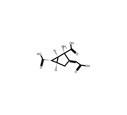 N[C@]1(C(=O)O)C(=CC(=O)O)C[C@H]2[C@H](C(=O)O)[C@H]21